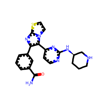 NC(=O)c1cccc(-c2nc3sccn3c2-c2ccnc(N[C@@H]3CCCNC3)n2)c1